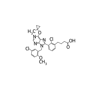 COc1ccc(Cl)cc1Cn1c(-c2cccc(CCCC(=O)O)c2Cl)nc2c(OC3(C)CC3)ncnc21